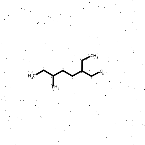 CCC(P)CCC(CC)CC